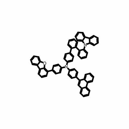 c1ccc(-c2ccccc2-n2c3ccccc3c3ccccc32)c(-c2ccc(N(c3ccc(-c4cc5ccccc5c5ccccc45)cc3)c3ccc(-c4cccc5c4oc4ccccc45)cc3)cc2)c1